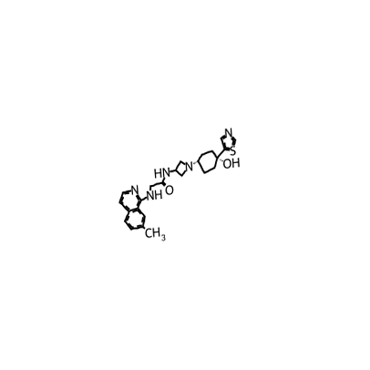 Cc1ccc2ccnc(NCC(=O)NC3CN([C@H]4CC[C@](O)(c5cncs5)CC4)C3)c2c1